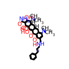 CN(C)c1cc(CNC/C=C/c2ccccc2)c(O)c2c1C[C@H]1C[C@H]3[C@H](N(C)C)C(O)=C(C(N)=O)C(=O)[C@@]3(O)C(O)=C1C2=O